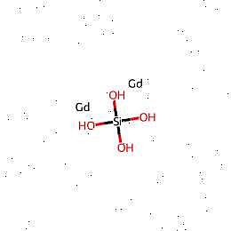 O[Si](O)(O)O.[Gd].[Gd]